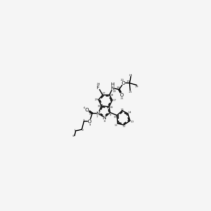 CCCCOC(=O)n1nc(-c2ccccc2)c2cc(NC(=O)OC(C)(C)C)c(F)cc21